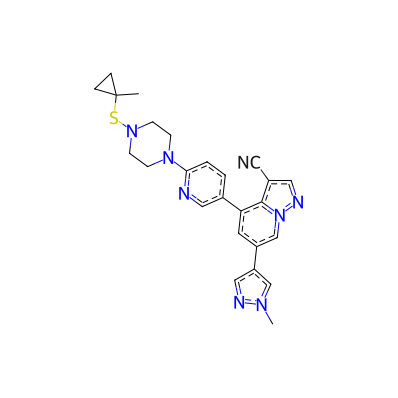 Cn1cc(-c2cc(-c3ccc(N4CCN(SC5(C)CC5)CC4)nc3)c3c(C#N)cnn3c2)cn1